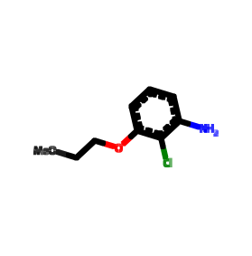 COCCOc1cccc(N)c1Cl